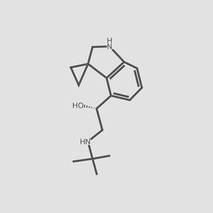 CC(C)(C)NC[C@H](O)c1cccc2c1C1(CC1)CN2